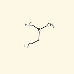 CCB(C)C